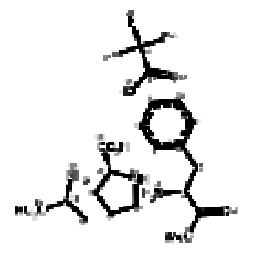 COC(=O)[C@@H](N)Cc1ccccc1.C[C@H](N)C(=O)O.O=C(O)C(F)(F)F.O=C(O)[C@@H]1CCCN1